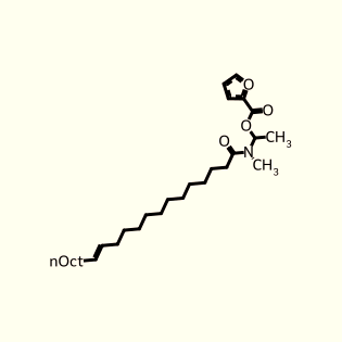 CCCCCCCCC=CCCCCCCCCCCCC(=O)N(C)C(C)OC(=O)c1ccco1